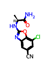 C[C@H](Nc1nc2cc(C#N)cc(Cl)c2o1)C(N)=O